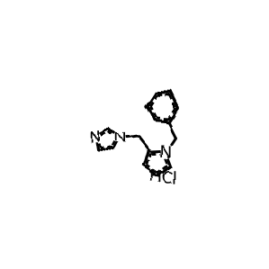 Cl.c1ccc(Cn2cccc2Cn2ccnc2)cc1